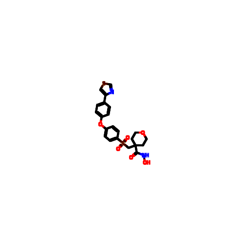 O=C(NO)C1(CS(=O)(=O)c2ccc(Oc3ccc(-c4cscn4)cc3)cc2)CCOCC1